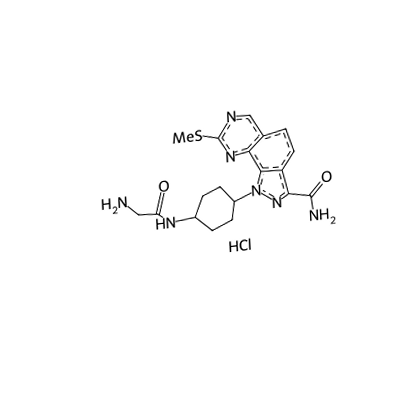 CSc1ncc2ccc3c(C(N)=O)nn(C4CCC(NC(=O)CN)CC4)c3c2n1.Cl